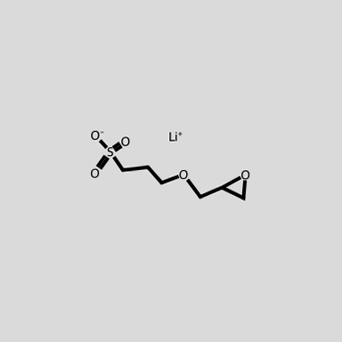 O=S(=O)([O-])CCCOCC1CO1.[Li+]